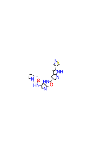 Cc1ncc(NC(=O)CN2CCC[C@@H]2C)cc1NC(=O)c1cnc2[nH]c(-c3cnsc3)cc2c1